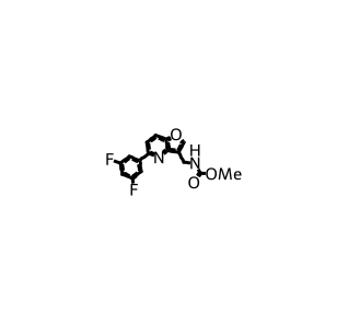 COC(=O)NCc1coc2ccc(-c3cc(F)cc(F)c3)nc12